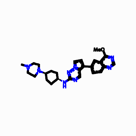 COc1ncnc2ccc(-c3ccn4nc(N[C@H]5CC[C@H](N6CCN(C)CC6)CC5)ncc34)cc12